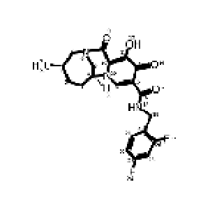 C[C@@H]1CC[C@H]2CN(C1)C(=O)c1c(O)c(=O)c(C(=O)NCc3ccc(F)cc3F)cn12